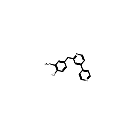 COc1cc(Cc2cc(-c3ccncc3)ccn2)ccc1O